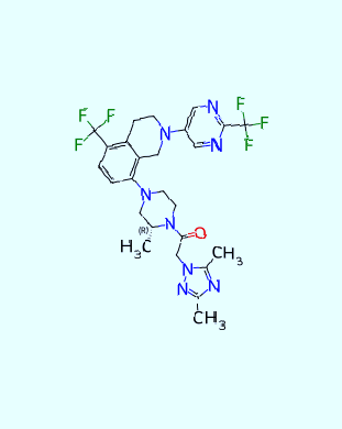 Cc1nc(C)n(CC(=O)N2CCN(c3ccc(C(F)(F)F)c4c3CN(c3cnc(C(F)(F)F)nc3)CC4)C[C@H]2C)n1